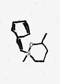 CC1CCC[Si](C)(C=C2C=CC=C2)O1